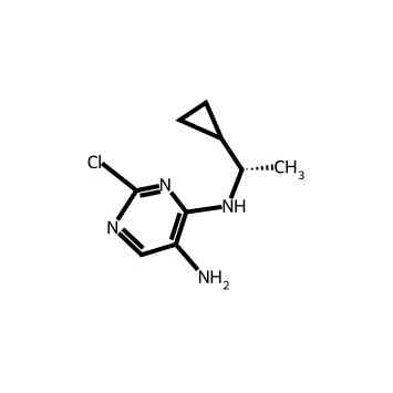 C[C@H](Nc1nc(Cl)ncc1N)C1CC1